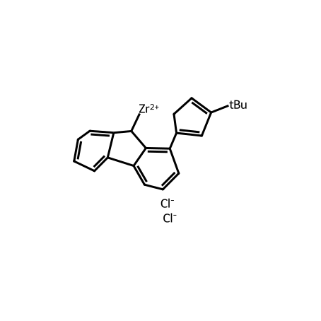 CC(C)(C)C1=CCC(c2cccc3c2[CH]([Zr+2])c2ccccc2-3)=C1.[Cl-].[Cl-]